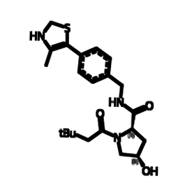 CC1=C(c2ccc(CNC(=O)[C@H]3C[C@@H](O)CN3C(=O)CC(C)(C)C)cc2)SCN1